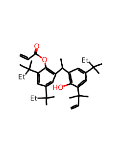 C=CC(=O)Oc1c(C(C)c2cc(C(C)(C)CC)cc(C(C)(C)C=C)c2O)cc(C(C)(C)CC)cc1C(C)(C)CC